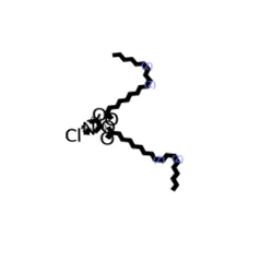 CCCCC/C=C\C/C=C\CCCCCCCC(=O)O[C@@H]1C[N+](C)(C)C[C@H]1OC(=O)CCCCCCC/C=C\C/C=C\CCCCC.[Cl-]